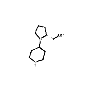 OC[C@H]1CCCN1C1CCNCC1